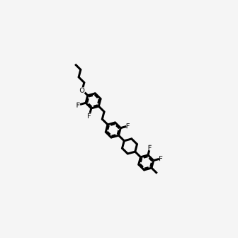 CCCCOc1ccc(CCc2ccc(C3CCC(c4ccc(C)c(F)c4F)CC3)c(F)c2)c(F)c1F